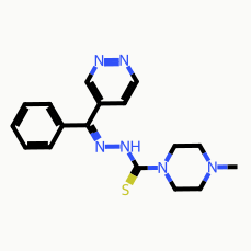 CN1CCN(C(=S)NN=C(c2ccccc2)c2ccnnc2)CC1